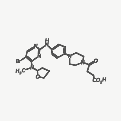 CN(c1nc(Nc2ccc(N3CCN(C(=O)CCC(=O)O)CC3)cc2)ncc1Br)C1CCCO1